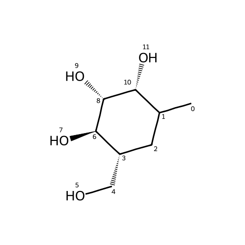 CC1C[C@H](CO)[C@@H](O)[C@H](O)[C@@H]1O